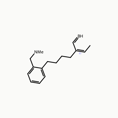 B=C/C(=C\C)CCCCc1ccccc1CNC